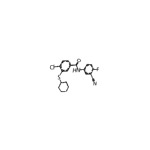 N#Cc1cc(NC(=O)c2ccc(Cl)c(SC3CCCCC3)c2)ccc1F